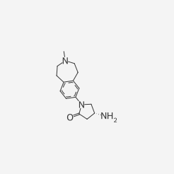 CN1CCc2ccc(N3C[C@H](N)CC3=O)cc2CC1